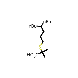 CCCCC(CCCC)CCCSC(C)(C)C(=O)O